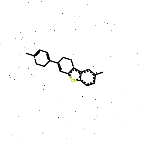 CC1=CC=C(C2=Cc3sc4ccc(C)cc4c3CC2)CC1